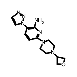 Nc1nc(N2CCN(C3COC3)CC2)ccc1-n1ccnn1